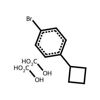 Brc1ccc(C2CCC2)cc1.O=C(O)O.O=C(O)O